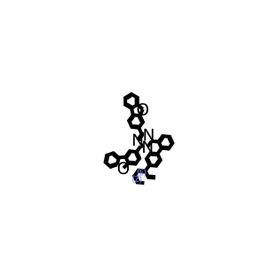 C=C/C(=C\C=C/C)c1ccc(-c2ccccc2-c2nc(-c3ccc4c(c3)oc3ccccc34)nc(-c3ccc4oc5ccccc5c4c3)n2)cc1